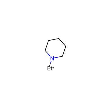 C[C]N1CCCCC1